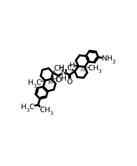 CC(C)c1ccc2c(c1)CC[C@H]1[C@](C)(C(=O)NC(=O)[C@@]3(C)CCC[C@]4(C)c5cc(N)ccc5CC[C@@H]34)CCC[C@]21C